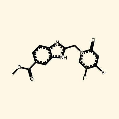 COC(=O)c1ccc2nc(Cn3cc(F)c(Br)cc3=O)[nH]c2c1